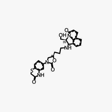 O=C1CSc2ccc(N3C[C@@H](CCCN[C@H]4c5cccc6ccc(=O)n(c56)[C@@H]4CO)OC3=O)cc2N1